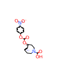 O=C(Oc1ccc([N+](=O)[O-])cc1)O[C@@H]1/C=C/CCN(C(=O)O)CC1